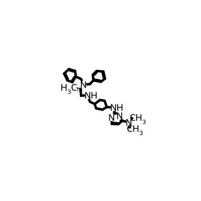 C[C@@H](CNCC1CCC(Nc2nccc(N(C)C)n2)CC1)N(Cc1ccccc1)Cc1ccccc1